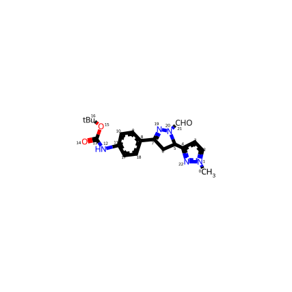 Cn1ccc(C2CC(c3ccc(NC(=O)OC(C)(C)C)cc3)=NN2C=O)n1